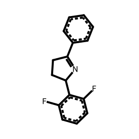 Fc1cccc(F)c1C1CCC(c2ccccc2)=N1